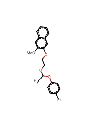 CCc1ccc(OC(C)OCCOc2cc3ccccc3cc2OC)cc1